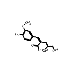 COc1cc(C=C(CC(O)CO)C(=O)O)ccc1O